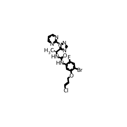 C[C@H](NC(=O)Nc1cc(OC/C=C/Cl)c(Br)cc1F)c1ncnn1-c1ncccn1